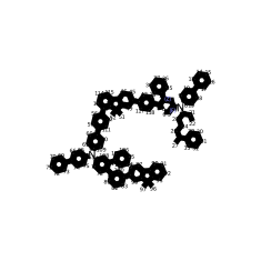 C=C(/C(=C\C(=C/C)N(c1ccc(-c2ccccc2)cc1)C(CC)CCCC(C)c1ccccc1)c1ccccc1)c1ccc(C2=CCC3C(=C2)C(C)(C)c2c(-c4ccc(-c5ccc(N(c6ccc(-c7ccccc7)cc6)c6ccc(-c7cccc(C8=CC=C9c%10ccccc%10C(C)(C)C9C8)c7)c(-c7ccccc7)c6)cc5)cc4)cccc23)cc1